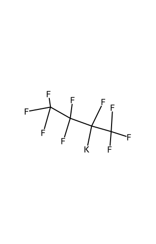 FC(F)(F)C(F)(F)[C](F)([K])C(F)(F)F